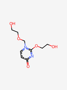 O=c1ccn(COCCO)c(OCCO)n1